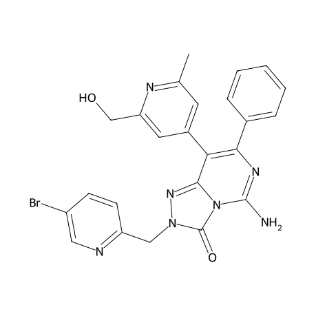 Cc1cc(-c2c(-c3ccccc3)nc(N)n3c(=O)n(Cc4ccc(Br)cn4)nc23)cc(CO)n1